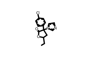 CCC1CC(c2ccc(Cl)cc2)(n2ccnc2)C(=O)O1